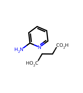 Nc1ccccn1.O=C(O)CCC(=O)O